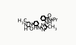 Cc1cnc(Nc2cccc(N3C[C@@H](C)NCC3=O)c2)nc1Nc1ccccc1C(=O)NC(C)C